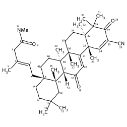 CNC(=O)C/C(C)=C/C[C@]12CCC(C)(C)C[C@@]1(C)[C@H]1C(=O)C=C3[C@@]4(C)C=C(C#N)C(=O)C(C)(C)[C@]4(C)CC[C@@]3(C)[C@]1(C)CC2